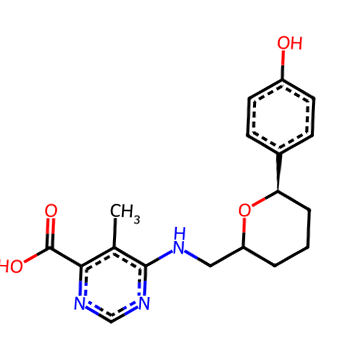 Cc1c(NCC2CCC[C@H](c3ccc(O)cc3)O2)ncnc1C(=O)O